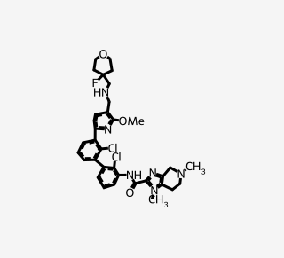 COc1nc(-c2cccc(-c3cccc(NC(=O)c4nc5c(n4C)CCN(C)C5)c3Cl)c2Cl)ccc1CNCC1(F)CCOCC1